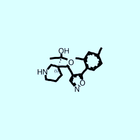 Cc1ccc(-c2oncc2C(=O)[C@@]2(C(C)(C)O)CCCNC2)c(C)c1